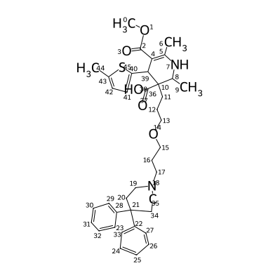 COC(=O)C1=C(C)NC(C)C(CCCOCCCN2CCC(c3ccccc3)(c3ccccc3)CC2)(C(=O)O)C1c1ccc(C)s1